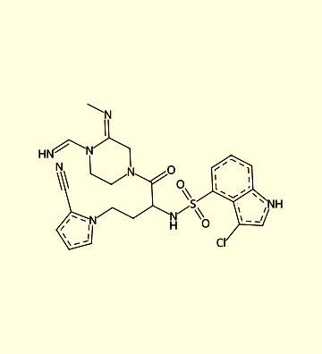 C/N=C1/CN(C(=O)C(CCn2cccc2C#N)NS(=O)(=O)c2cccc3[nH]cc(Cl)c23)CCN1C=N